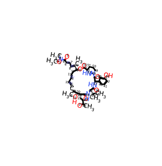 CON(C)C(=O)/C=C/C=C(\C)[C@@H]1C/C=C/C=C/C[C@H](C)[C@@H](O)[C@@H](CCC(C)=O)C(=O)N[C@@H](C(C)C)C(=O)NC(c2cccc(O)c2)C(=O)N2CCCC(N2)C(=O)O1